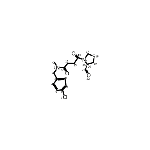 CN(Cc1ccc(Cl)cc1)C(=O)CCC(=O)N1CSC[C@H]1C=O